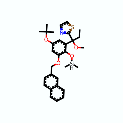 CCC(OC)(c1nccs1)c1cc(OC(C)(C)C)cc(OCc2ccc3ccccc3c2)c1O[SiH](C)C